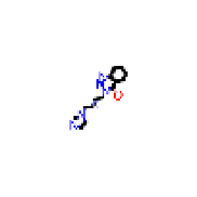 O=c1c2ccccc2nnn1C/C=C/Cn1ccnc1